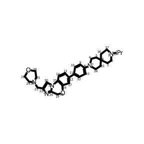 CC(C)N1CCC2(CCN(c3ccc(-c4ccc5c(c4)OCc4nc(CN6CCOCC6)cn4-5)cc3)CC2)CC1